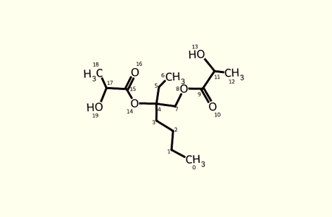 CCCCC(CC)(COC(=O)C(C)O)OC(=O)C(C)O